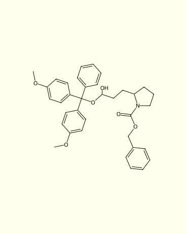 COc1ccc(C(OC(O)CCC2CCCN2C(=O)OCc2ccccc2)(c2ccccc2)c2ccc(OC)cc2)cc1